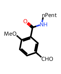 CCCCCNC(=O)c1cc(C=O)ccc1OC